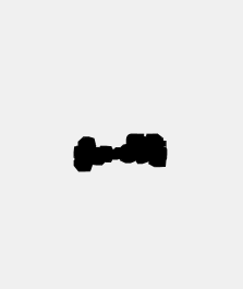 CC1(C)C2=CC(/C=C/c3ccc4c(c3)CCC(N3c5ccccc5CCc5ccccc53)=C4)=CC=C(C2)c2ccc(N3c4ccccc4Sc4ccccc43)cc21